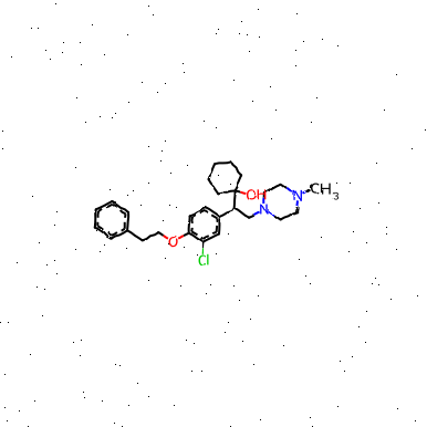 CN1CCN(CC(c2ccc(OCCc3ccccc3)c(Cl)c2)C2(O)CCCCC2)CC1